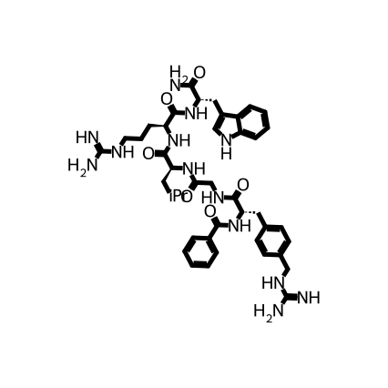 CC(C)C[C@H](NC(=O)CNC(=O)[C@H](Cc1ccc(CNC(=N)N)cc1)NC(=O)c1ccccc1)C(=O)N[C@@H](CCCNC(=N)N)C(=O)N[C@@H](Cc1c[nH]c2ccccc12)C(N)=O